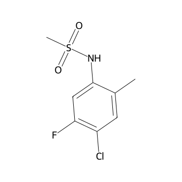 Cc1cc(Cl)c(F)cc1NS(C)(=O)=O